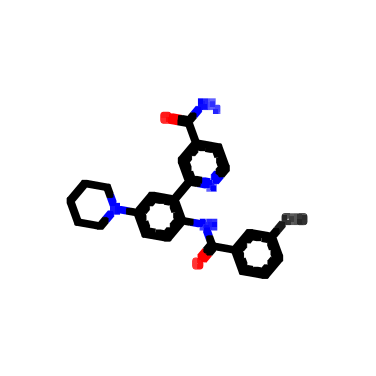 NC(=O)c1ccnc(-c2cc(N3CCCCC3)ccc2NC(=O)c2cccc(C=O)c2)c1